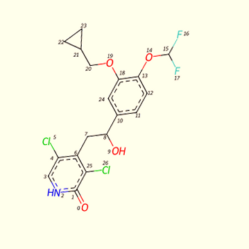 O=c1[nH]cc(Cl)c(CC(O)c2ccc(OC(F)F)c(OCC3CC3)c2)c1Cl